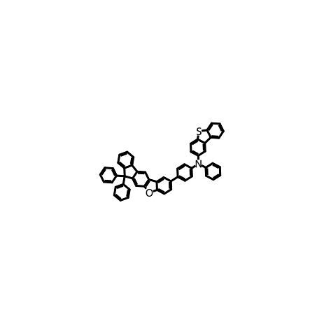 c1ccc(N(c2ccc(-c3ccc4oc5cc6c(cc5c4c3)-c3ccccc3C6(c3ccccc3)c3ccccc3)cc2)c2ccc3sc4ccccc4c3c2)cc1